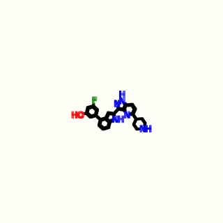 Oc1cc(F)cc(-c2cccc3[nH]c(-c4n[nH]c5ccc(C6CCNCC6)nc45)cc23)c1